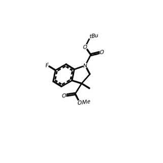 COC(=O)C1(C)CN(C(=O)OC(C)(C)C)c2cc(F)ccc21